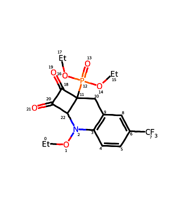 CCON1c2ccc(C(F)(F)F)cc2CC2(P(=O)(OCC)OCC)C(=O)C(=O)C12